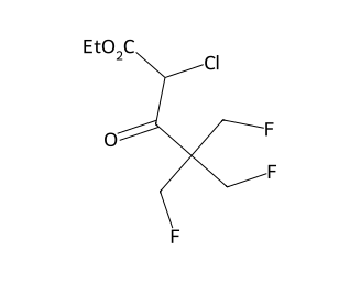 CCOC(=O)C(Cl)C(=O)C(CF)(CF)CF